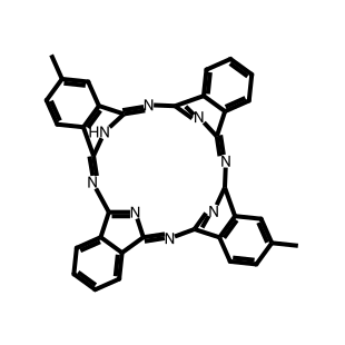 Cc1ccc2c(c1)C1N=C2/N=C2N=C(/N=c3\[nH]/c(c4cc(C)ccc34)=N\C3=NC(=N\1)/c1ccccc13)c1ccccc1\2